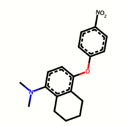 CN(C)c1ccc(Oc2ccc([N+](=O)[O-])cc2)c2c1CCCC2